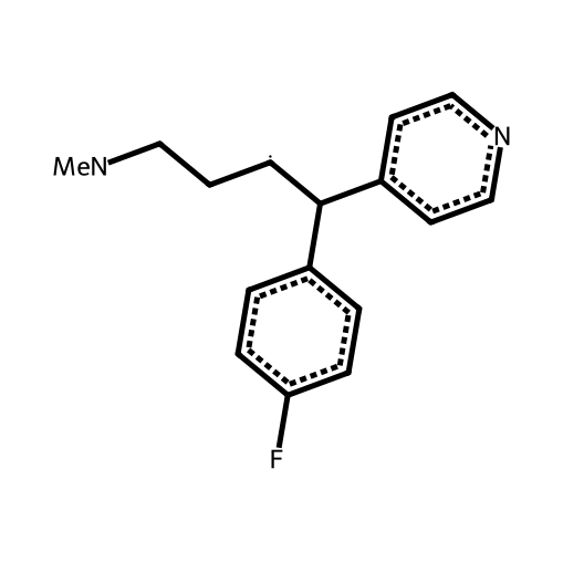 CNCC[CH]C(c1ccncc1)c1ccc(F)cc1